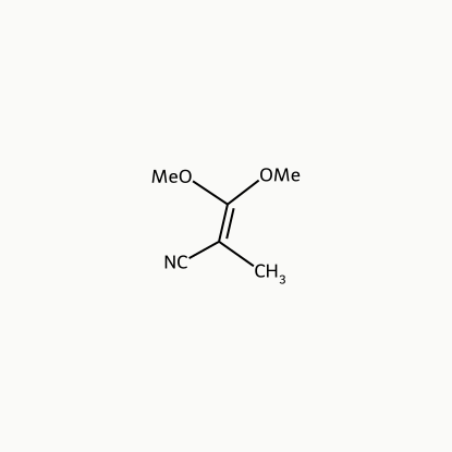 COC(OC)=C(C)C#N